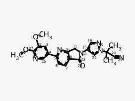 COc1cc(-c2ccc3c(n2)CN(c2cnn(C(C)(C)C#N)c2)C3=O)cnc1OC